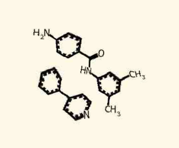 Cc1cc(C)cc(NC(=O)c2ccc(N)cc2)c1.c1ccc(-c2ccncc2)cc1